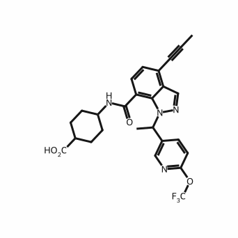 CC#Cc1ccc(C(=O)NC2CCC(C(=O)O)CC2)c2c1cnn2C(C)c1ccc(OC(F)(F)F)nc1